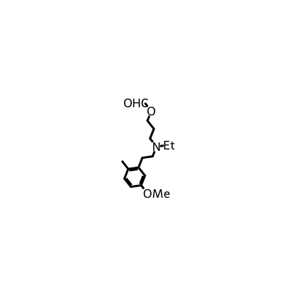 CCN(CCCOC=O)CCc1cc(OC)ccc1C